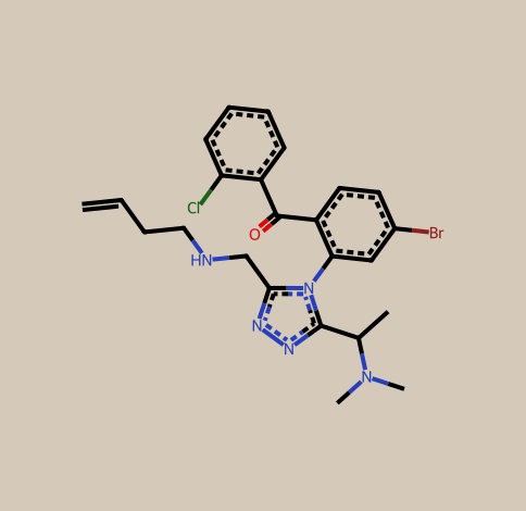 C=CCCNCc1nnc(C(C)N(C)C)n1-c1cc(Br)ccc1C(=O)c1ccccc1Cl